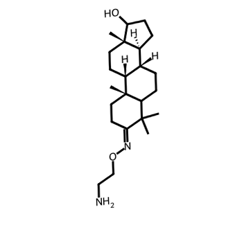 CC1(C)/C(=N/OCCN)CC[C@@]2(C)C1CC[C@@H]1[C@H]2CC[C@]2(C)C(O)CC[C@@H]12